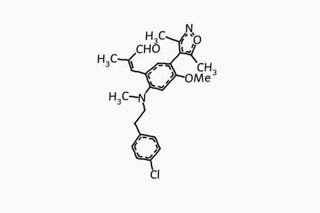 COc1cc(N(C)CCc2ccc(Cl)cc2)c(/C=C(/C)C=O)cc1-c1c(C)noc1C